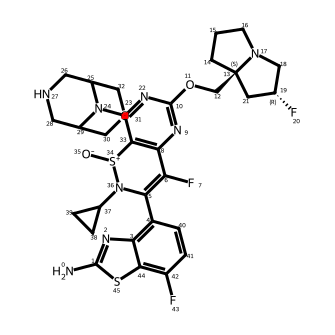 Nc1nc2c(C3=C(F)c4nc(OC[C@@]56CCCN5C[C@H](F)C6)nc(N5C6CNCC5COC6)c4[S+]([O-])N3C3CC3)ccc(F)c2s1